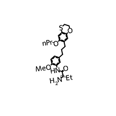 CCCOc1cc2c(cc1CCCc1ccc(OC)c(NC(=O)[C@@H](N)CC)c1)OCCS2